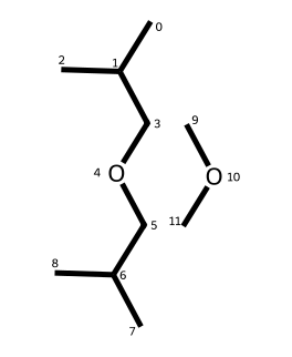 CC(C)COCC(C)C.COC